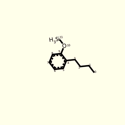 CCCCc1ccccc1O[SiH3]